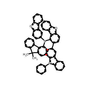 CC1(C)c2ccccc2-c2c(N(c3ccc4oc5ccccc5c4c3)c3c(-c4ccc5c(c4)c4ccccc4n5-c4ccccc4)ccc4oc5ccccc5c34)cccc21